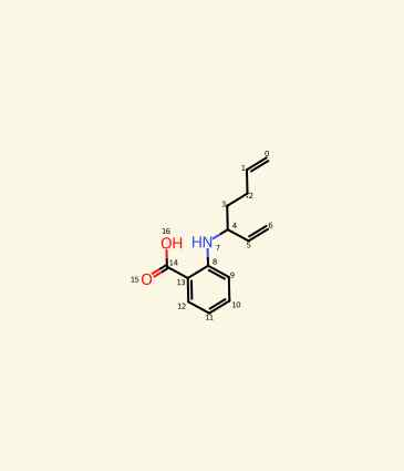 C=C[CH]CC(C=C)Nc1ccccc1C(=O)O